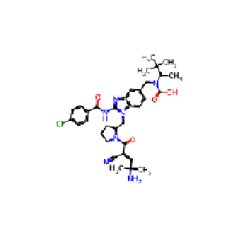 CC(N(Cc1ccc2c(c1)nc(NC(=O)c1ccc(Cl)cc1)n2CC1CCCN1C(=O)C(C#N)=CC(C)(C)N)C(=O)O)C(C)(C)C